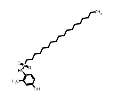 CCCCCCCCCCCCCCCCCCS(=O)(=O)Nc1ccc(O)cc1C